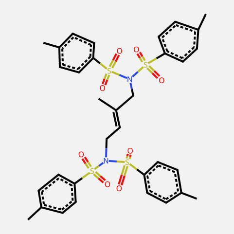 C/C(=C\CN(S(=O)(=O)c1ccc(C)cc1)S(=O)(=O)c1ccc(C)cc1)CN(S(=O)(=O)c1ccc(C)cc1)S(=O)(=O)c1ccc(C)cc1